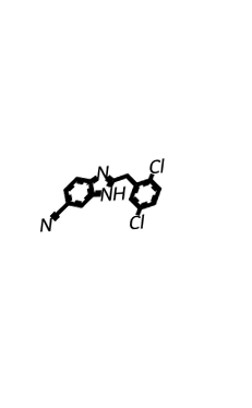 N#Cc1ccc2nc(Cc3cc(Cl)ccc3Cl)[nH]c2c1